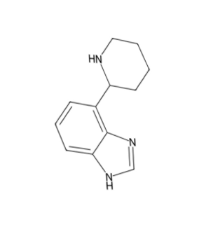 c1cc(C2CCCCN2)c2nc[nH]c2c1